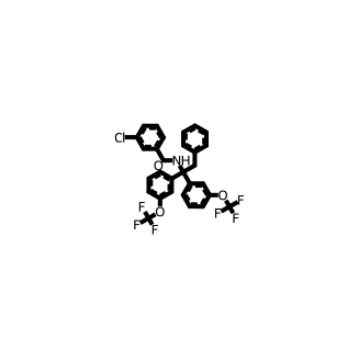 O=C(NC(Cc1ccccc1)(c1cccc(OC(F)(F)F)c1)c1cccc(OC(F)(F)F)c1)c1cccc(Cl)c1